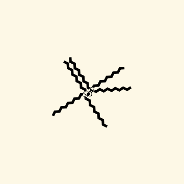 CCCCCCCCCC[Si](CCCCCCCCCC)(CCCCCCCCCC)O[Si](CCCCCCCCCC)(CCCCCCCCCC)CCCCCCCCCC